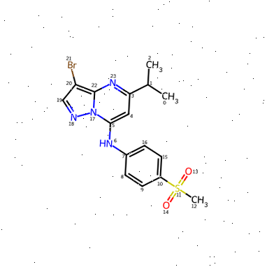 CC(C)c1cc(Nc2ccc(S(C)(=O)=O)cc2)n2ncc(Br)c2n1